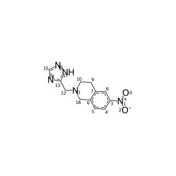 O=[N+]([O-])c1ccc2c(c1)CCN(Cc1ncn[nH]1)C2